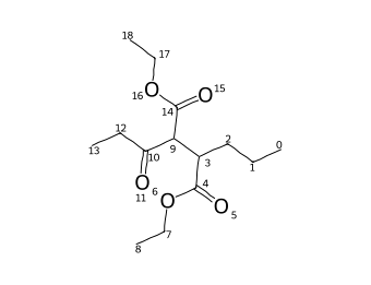 CCCC(C(=O)OCC)C(C(=O)CC)C(=O)OCC